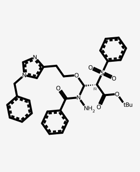 CC(C)(C)OC(=O)[C@H](C(OCCc1cn(Cc2ccccc2)cn1)N(N)C(=O)c1ccccc1)S(=O)(=O)c1ccccc1